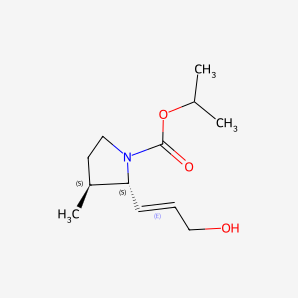 CC(C)OC(=O)N1CC[C@H](C)[C@H]1/C=C/CO